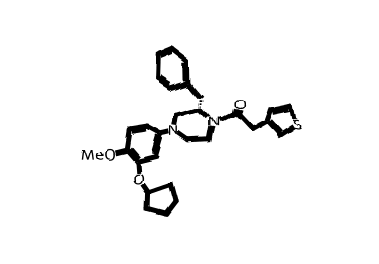 COc1ccc(N2CCN(C(=O)Cc3ccsc3)[C@@H](Cc3ccccc3)C2)cc1OC1CCCC1